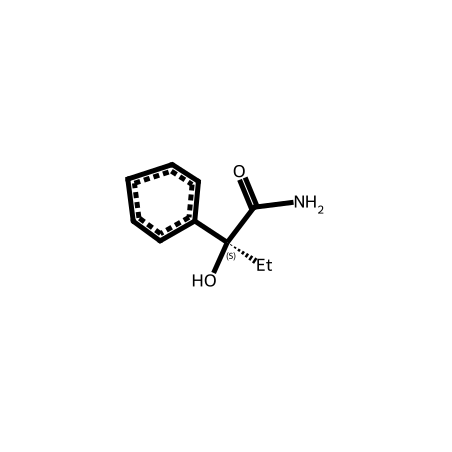 CC[C@@](O)(C(N)=O)c1ccccc1